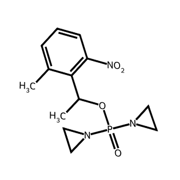 Cc1cccc([N+](=O)[O-])c1C(C)OP(=O)(N1CC1)N1CC1